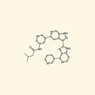 CC(C)CC(=O)Nc1cncc(-c2cc3c(-c4nc5c(-c6cccnc6)nccc5[nH]4)n[nH]c3cn2)c1